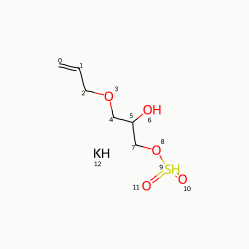 C=CCOCC(O)CO[SH](=O)=O.[KH]